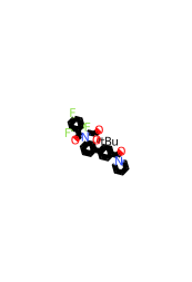 CC(C)(C)OC(=O)CN(C(=O)c1c(F)cc(F)cc1F)c1cccc(-c2ccc(C(=O)N3CCCCC3)cc2)c1